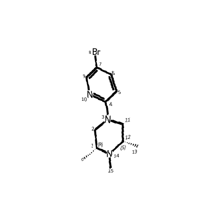 C[C@@H]1CN(c2ccc(Br)cn2)C[C@H](C)N1C